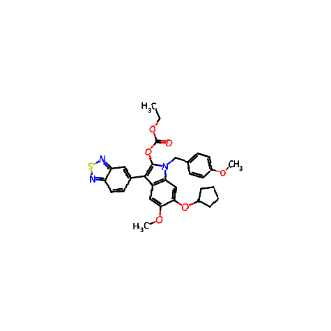 CCOC(=O)Oc1c(-c2ccc3nsnc3c2)c2cc(OC)c(OC3CCCC3)cc2n1Cc1ccc(OC)cc1